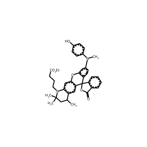 CCOC(=O)CCCN1c2cc3c(cc2C(C)CC1(C)C)C1(OC(=O)c2ccccc21)c1ccc(N(C)c2ccc(O)cc2)cc1O3